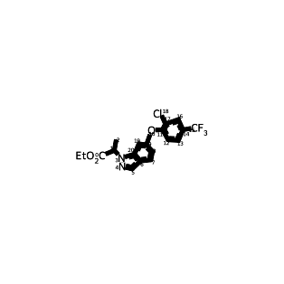 CCOC(=O)C(C)n1ncc2ccc(Oc3ccc(C(F)(F)F)cc3Cl)cc21